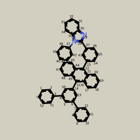 c1ccc(-c2cc(-c3ccccc3)cc(-c3c4ccccc4c(-c4cccc(-c5nc6ccccc6n5-c5ccccc5)c4)c4ccccc34)c2)cc1